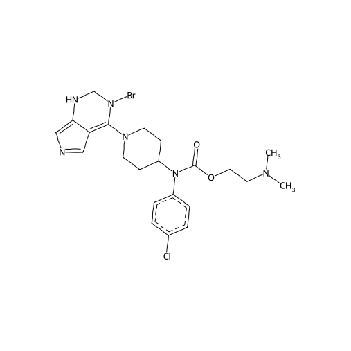 CN(C)CCOC(=O)N(c1ccc(Cl)cc1)C1CCN(C2=C3C=NC=C3NCN2Br)CC1